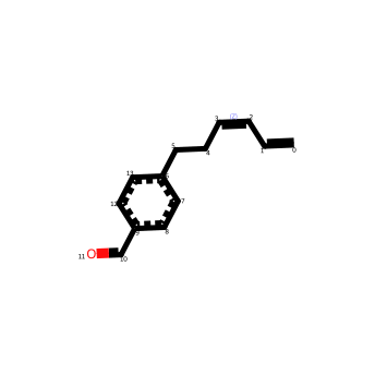 C=C/C=C\CCc1ccc(C=O)cc1